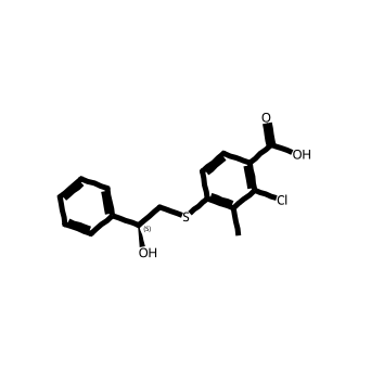 Cc1c(SC[C@@H](O)c2ccccc2)ccc(C(=O)O)c1Cl